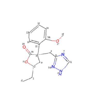 CCC1CC(Cc2nc[nH]n2)(c2ccccc2OC)C(=O)O1